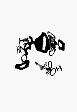 O=C(O)C(F)(F)F.O=S(=O)(c1ccc(-c2ccnc3[nH]c(COc4ccccc4)cc23)cc1)N1CCCC1